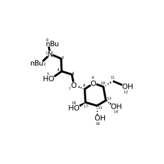 CCCCN(CCCC)CC(O)CO[C@@H]1O[C@H](CO)[C@H](O)[C@H](O)[C@H]1O